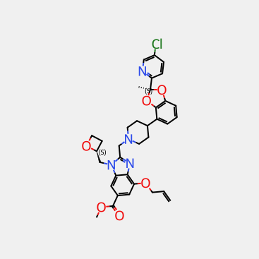 C=CCOc1cc(C(=O)OC)cc2c1nc(CN1CCC(c3cccc4c3O[C@@](C)(c3ccc(Cl)cn3)O4)CC1)n2C[C@@H]1CCO1